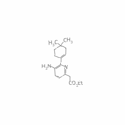 CCOC(=O)Cc1ccc(N)c(C2=CCC(C)(C)CC2)n1